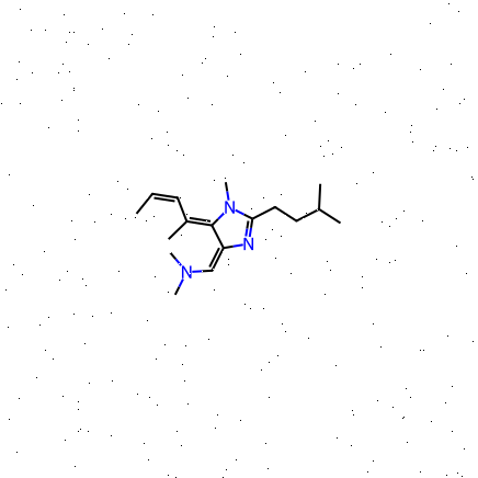 C\C=C/C(C)=c1/c(=C\N(C)C)nc(CCC(C)C)n1C